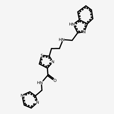 O=C(NCc1cnccn1)c1csc(CCNCc2nc3ccccc3[nH]2)n1